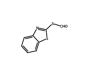 O=CSc1nc2ccccc2s1